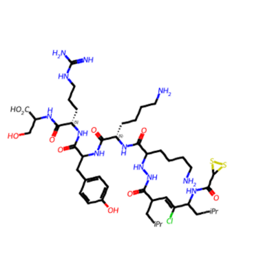 CC(C)CC(C=C(Cl)C(CC(C)C)NC(=O)C1SS1)C(=O)NNC(CCCCN)C(=O)N[C@@H](CCCCN)C(=O)NC(Cc1ccc(O)cc1)C(=O)N[C@@H](CCCNC(=N)N)C(=O)NC(CO)C(=O)O